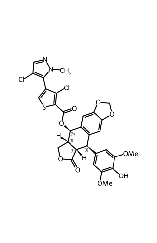 COc1cc([C@@H]2c3cc4c(cc3[C@H](OC(=O)c3scc(-c5c(Cl)cnn5C)c3Cl)[C@H]3COC(=O)[C@@H]23)OCO4)cc(OC)c1O